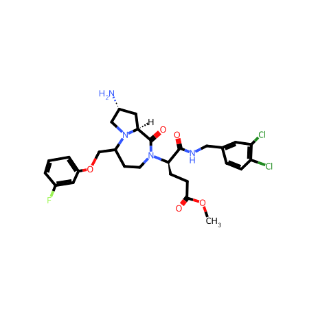 COC(=O)CC[C@H](C(=O)NCc1ccc(Cl)c(Cl)c1)N1CCC(COc2cccc(F)c2)N2C[C@H](N)C[C@H]2C1=O